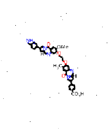 COc1cc2c(cc1OCCCOc1cc3c(cc1C)C(=O)N1C=C(c4ccc(C(=O)O)cc4)C[C@H]1C=N3)N=C[C@@H]1CC(c3ccc(CN)cc3)=CN1C2=O